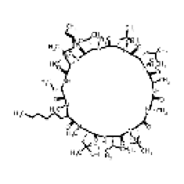 C/C=C/C[C@@H](C)[C@@H](O)[C@H]1C(=O)N[C@@H](CC)C(=O)N(C)[C@H](CSCCCC)C(=O)N(C)[C@@H](CC(C)(C)O)C(=O)N[C@@H](C(C)C)C(=O)N(C)[C@@H](CC(C)C)C(=O)N[C@@H](C)C(=O)N[C@H](C)C(=O)N(C)[C@@H](CC(C)C)C(=O)N(C)[C@@H](CC(C)C)C(=O)N(C)[C@@H](C(C)C)C(=O)N1C